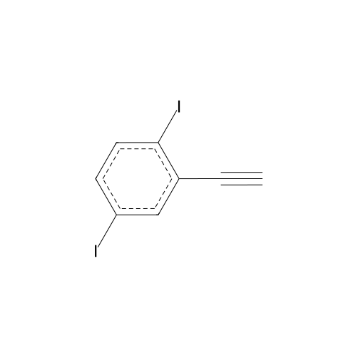 C#Cc1cc(I)ccc1I